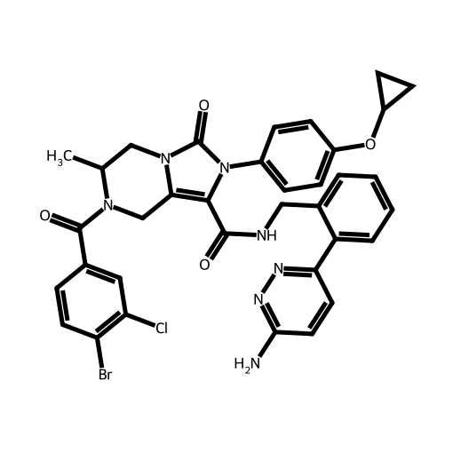 CC1Cn2c(c(C(=O)NCc3ccccc3-c3ccc(N)nn3)n(-c3ccc(OC4CC4)cc3)c2=O)CN1C(=O)c1ccc(Br)c(Cl)c1